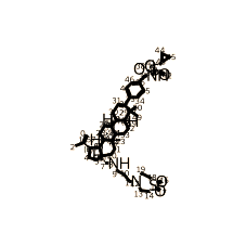 C=C(C)[C@@H]1CC[C@]2(CNCCCN3CCS(=O)(=O)CC3)CC[C@]3(C)[C@H](CC[C@@H]4[C@@]5(C)CC=C(c6ccc(C(=O)NS(=O)(=O)C7CC7)cc6)C(C)(C)[C@@H]5CC[C@]43C)[C@@H]12